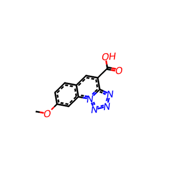 COc1ccc2cc(C(=O)O)c3nnnn3c2c1